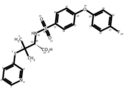 CC(C)(Sc1cccnc1)[C@H](NS(=O)(=O)c1ccc(Oc2ccc(F)cc2)cc1)C(=O)O